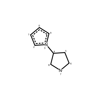 c1ccn(C2CC[N]C2)c1